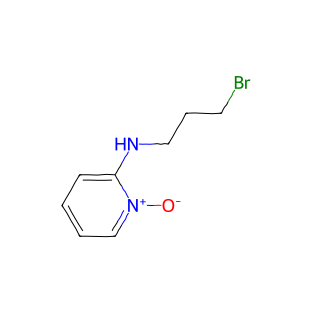 [O-][n+]1ccccc1NCCCBr